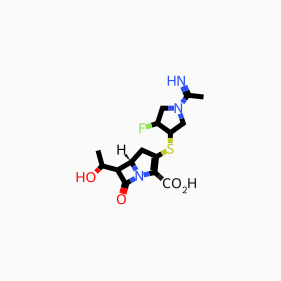 CC(=N)N1CC(F)C(SC2=C(C(=O)O)N3C(=O)C(C(C)O)[C@H]3C2)C1